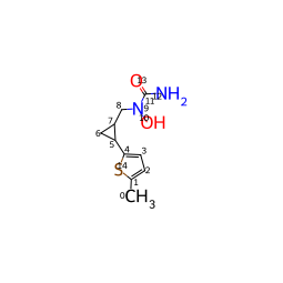 Cc1ccc(C2CC2CN(O)C(N)=O)s1